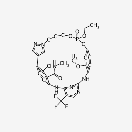 CCOP1(=O)Cc2ccc(c(OC)c2)Nc2ncc(C(F)(F)F)c(n2)Nc2ccc(c(Cl)c2C(=O)NC)-c2cnn(c2)CCCO1